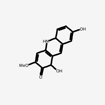 COC1=CC2=C(C=C3C=C(O)C=CC3N2)C(O)C1=O